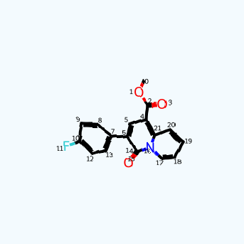 COC(=O)c1cc(-c2ccc(F)cc2)c(=O)n2ccccc12